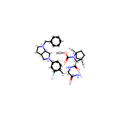 CC(C)(C)OC(=O)N1[C@@H]2CC[C@@H](C2)[C@H]1C(=O)N[C@@H](Cc1ccc(N2CC3CCN(Cc4ccccc4)C3C2)cc1F)C(N)=O